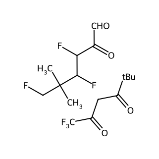 CC(C)(C)C(=O)CC(=O)C(F)(F)F.CC(C)(CF)C(F)C(F)C(=O)C=O